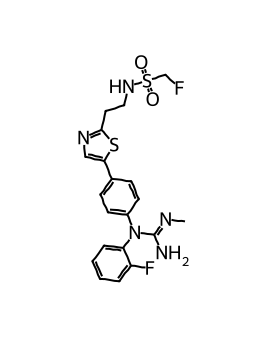 CN=C(N)N(c1ccc(-c2cnc(CCNS(=O)(=O)CF)s2)cc1)c1ccccc1F